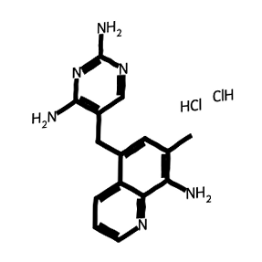 Cc1cc(Cc2cnc(N)nc2N)c2cccnc2c1N.Cl.Cl